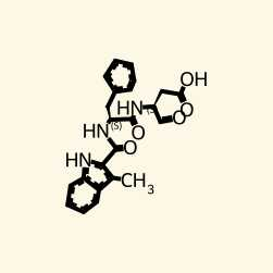 Cc1c(C(=O)N[C@@H](Cc2ccccc2)C(=O)N[C@H](C=O)CC(=O)O)[nH]c2ccccc12